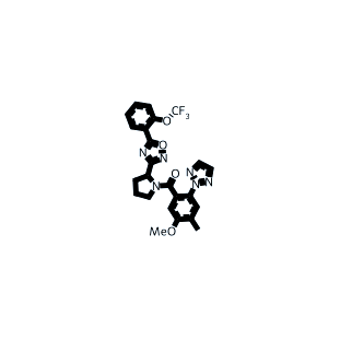 COc1cc(C(=O)N2CCCC2c2noc(-c3ccccc3OC(F)(F)F)n2)c(-n2nccn2)cc1C